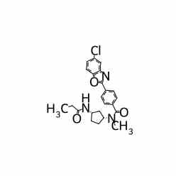 CCC(=O)N[C@H]1CC[C@@H](N(C)C(=O)c2ccc(-c3nc4cc(Cl)ccc4o3)cc2)C1